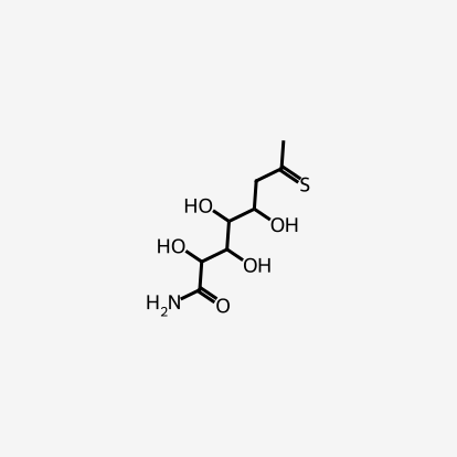 CC(=S)CC(O)C(O)C(O)C(O)C(N)=O